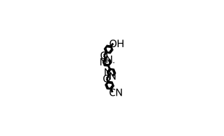 N#Cc1ccc(Oc2nccc(-c3[c]nc(Oc4ccc(O)cc4)nc3)n2)cc1